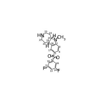 CN1c2ccc(S(=O)(=O)c3cc(F)cc(F)c3)cc2[C@@H]2CCNCC[C@@H]21